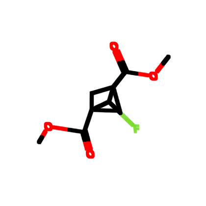 COC(=O)C12CC(C(=O)OC)(C1)C2F